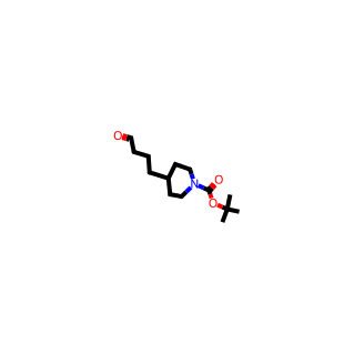 CC(C)(C)OC(=O)N1CCC(CCCC=O)CC1